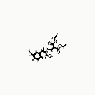 CCOC(=O)C(=CNc1cc2cc(OC)ccc2oc1=O)C(=O)OCC